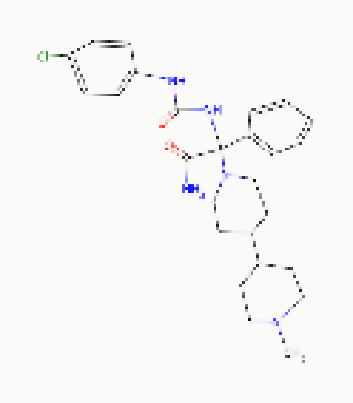 CN1CCC(C2CCN(C(NC(=O)Nc3ccc(Cl)cc3)(C(N)=O)c3ccccc3)CC2)CC1